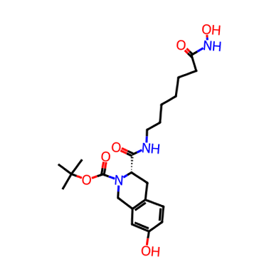 CC(C)(C)OC(=O)N1Cc2cc(O)ccc2C[C@H]1C(=O)NCCCCCCC(=O)NO